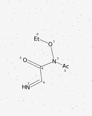 CCON(C(C)=O)C(=O)C=N